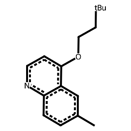 Cc1ccc2nccc(OCCC(C)(C)C)c2c1